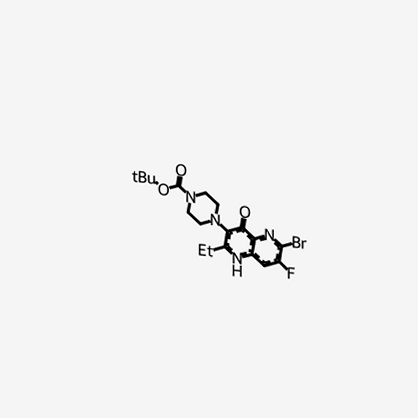 CCc1[nH]c2cc(F)c(Br)nc2c(=O)c1N1CCN(C(=O)OC(C)(C)C)CC1